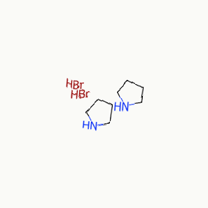 Br.Br.C1CCNC1.C1CCNC1